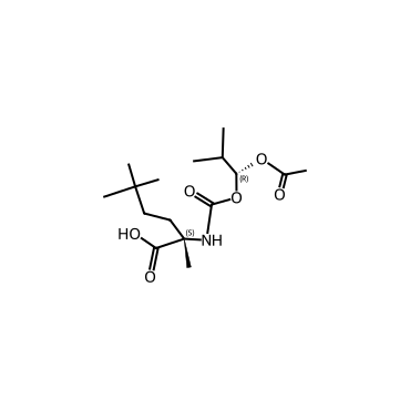 CC(=O)O[C@H](OC(=O)N[C@@](C)(CCC(C)(C)C)C(=O)O)C(C)C